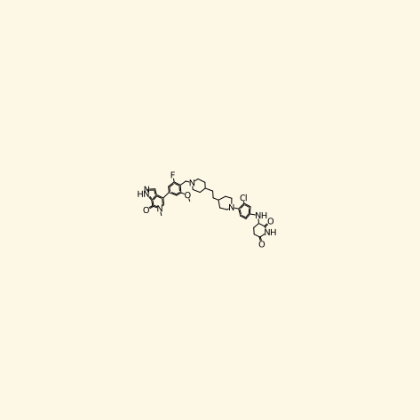 COc1cc(-c2cn(C)c(=O)c3[nH]ncc23)cc(F)c1CN1CCC(CCC2CCN(c3ccc(NC4CCC(=O)NC4=O)cc3Cl)CC2)CC1